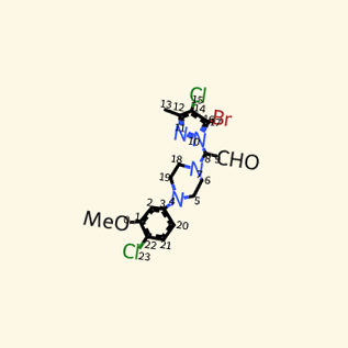 COc1cc(N2CCN(C(C=O)n3nc(C)c(Cl)c3Br)CC2)ccc1Cl